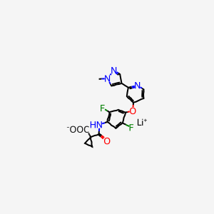 Cn1cc(-c2cc(Oc3cc(F)c(NC(=O)C4(C(=O)[O-])CC4)cc3F)ccn2)cn1.[Li+]